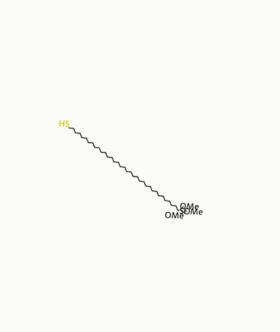 CO[Si](CCCCCCCCCCCCCCCCCCCCCCCCCCCCCCCCCCCS)(OC)OC